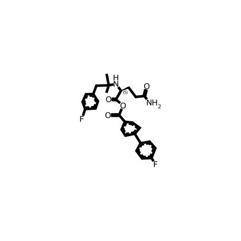 CC(C)(Cc1ccc(F)cc1)N[C@@H](CCC(N)=O)C(=O)OC(=O)c1ccc(-c2ccc(F)cc2)cc1